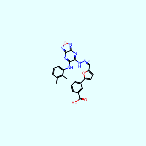 Cc1cccc(Nc2nc3nonc3nc2N/N=C\c2ccc(-c3cccc(C(=O)O)c3)o2)c1C